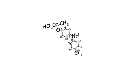 CC(Oc1ccc(Nc2ccc(C(F)(F)F)cc2)cc1)C(=O)O